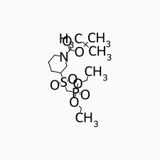 CCOP(=O)(CS(=O)(=O)C1CCCN(C(=O)OC(C)(C)C)C1)OCC